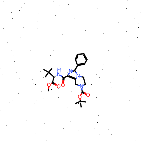 COC(=O)[C@@H](NC(=O)c1nc(-c2ccccc2)n2c1CN(C(=O)OC(C)(C)C)CC2)C(C)(C)C